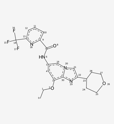 CCOc1cc(NC(=O)c2cccc(C(F)(F)F)n2)cn2cc(C3CCOCC3)nc12